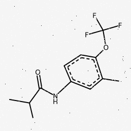 Cc1cc(NC(=O)C(C)C)ccc1OC(F)(F)F